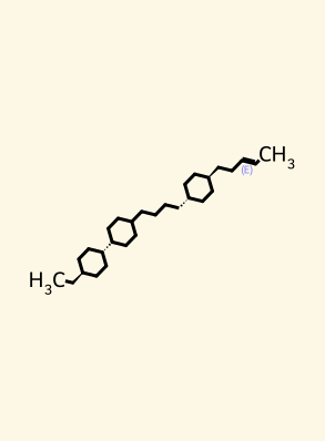 C/C=C/CC[C@H]1CC[C@H](CCCCC2CCC([C@H]3CC[C@H](CC)CC3)CC2)CC1